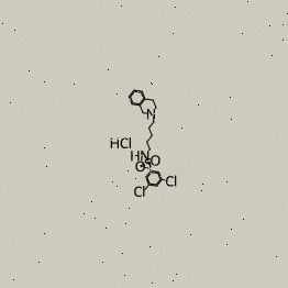 Cl.O=S(=O)(NCCCCCN1CCc2ccccc2C1)c1cc(Cl)cc(Cl)c1